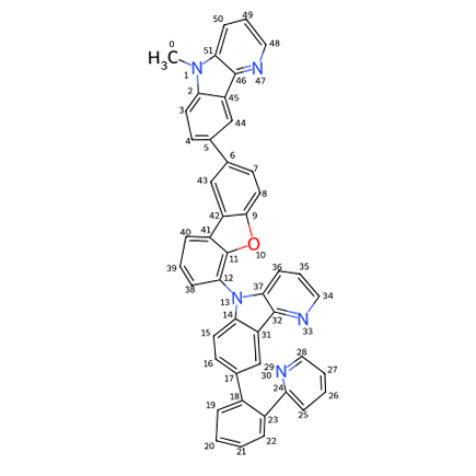 Cn1c2ccc(-c3ccc4oc5c(-n6c7ccc(-c8ccccc8-c8ccccn8)cc7c7ncccc76)cccc5c4c3)cc2c2ncccc21